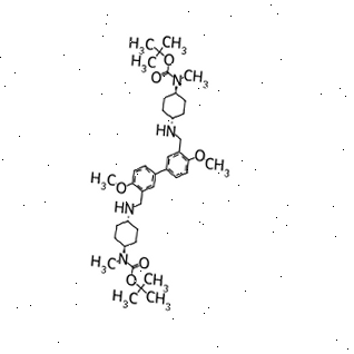 COc1ccc(-c2ccc(OC)c(CN[C@H]3CC[C@H](N(C)C(=O)OC(C)(C)C)CC3)c2)cc1CN[C@H]1CC[C@H](N(C)C(=O)OC(C)(C)C)CC1